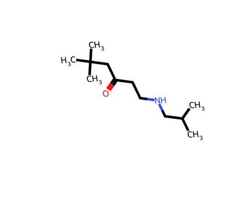 CC(C)CNCCC(=O)CC(C)(C)C